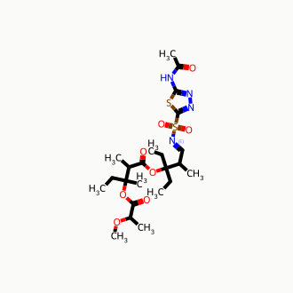 CCC(C)(OC(=O)C(C)OC)C(C)C(=O)OC(CC)(CC)C(C)/C=N/S(=O)(=O)c1nnc(NC(C)=O)s1